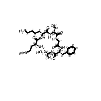 CSCC[C@H](N)C(=O)N[C@@H](CCCCN)C(=O)N[C@@H](CO)C(=O)NCC(=O)N[C@@H](Cc1ccccc1)C(=O)N[C@@H](C)C(=O)O